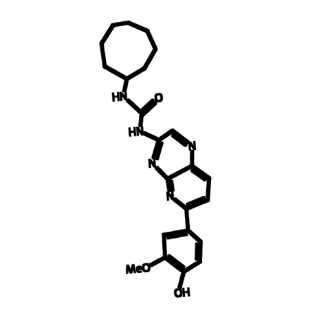 COc1cc(-c2ccc3ncc(NC(=O)NC4CCCCCCC4)nc3n2)ccc1O